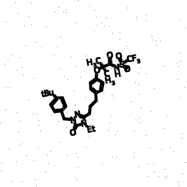 CCn1c(CCCc2ccc(OC(C)(C)C(=O)NS(=O)(=O)C(F)(F)F)cc2)nn(Cc2ccc(C(C)(C)C)cc2)c1=O